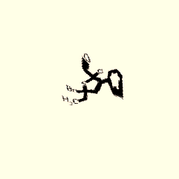 CCC1(Br)C=C(c2ccccc2)C(Cl)(C=O)S1